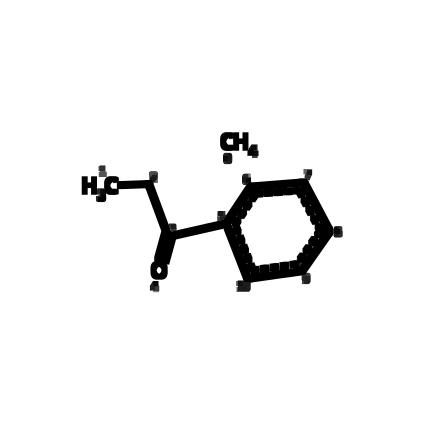 C.CCC(=O)c1ccccc1